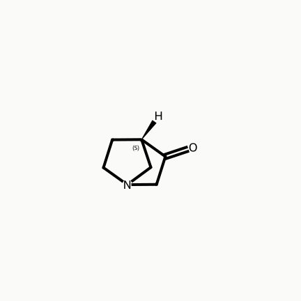 O=C1CN2CC[C@H]1C2